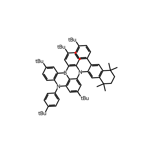 CC(C)(C)c1ccc(-c2cc3c(cc2N2c4ccc(C(C)(C)C)cc4B4c5cc(C(C)(C)C)ccc5N(c5ccc(C(C)(C)C)cc5)c5cc(C(C)(C)C)cc2c54)C(C)(C)CCC3(C)C)cc1